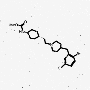 COC(=O)N[C@H]1CC[C@H](CCN2CCC(Cc3cc(Cl)ccc3Br)CC2)CC1